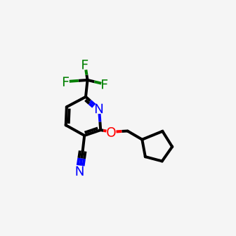 N#Cc1ccc(C(F)(F)F)nc1OCC1CCCC1